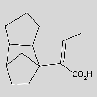 CC=C(C(=O)O)C12CCC(C1)C1CCCC12